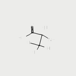 [2H]C([2H])([2H])[C@]([2H])(N)C(=O)O